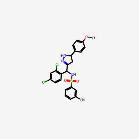 CCOc1ccc(C2CC(C(NS(=O)(=O)c3cccc(C#N)c3)c3ccc(Cl)cc3Cl)=NN2)cc1